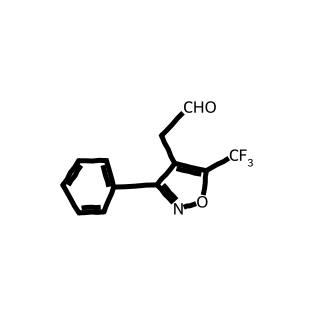 O=CCc1c(-c2ccccc2)noc1C(F)(F)F